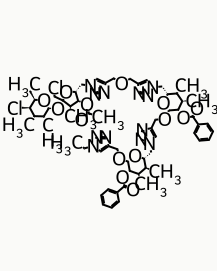 CC[C@H]1O[C@H](OC2(CCl)O[C@H](Cn3cc(COCc4cn(C[C@H]5OC(OCc6cn(C[C@H]7OC(OCc8cn(CC)nn8)[C@@H](OC(=O)c8ccccc8)[C@@H](C)[C@@H]7C)nn6)[C@@H](OC(=O)c6ccccc6)[C@@H](C)[C@@H]5C)nn4)nn3)[C@@H](OC(C)=O)[C@@H]2C)C(C)[C@@H](C)[C@H]1Cl